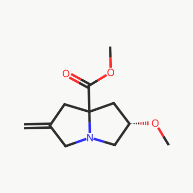 C=C1CN2C[C@@H](OC)CC2(C(=O)OC)C1